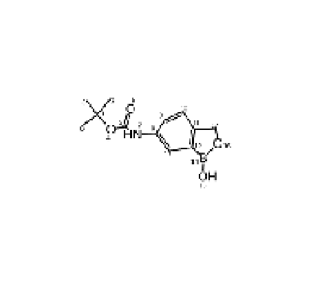 CC(C)(C)OC(=O)Nc1ccc2c(c1)B(O)OC2